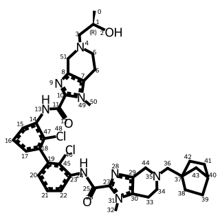 C[C@@H](O)CN1CCc2c(nc(C(=O)Nc3cccc(-c4cccc(NC(=O)c5nc6c(n5C)CCN(CC57CCC(CC5)C7)C6)c4Cl)c3Cl)n2C)C1